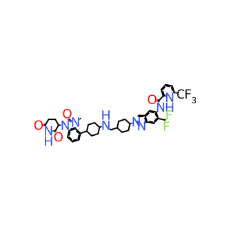 Cn1c(=O)n(C2CCC(=O)NC2=O)c2cccc(C3CCC(NCC4CCC(n5cc6cc(NC(=O)c7cccc(C(F)(F)F)n7)c(C(F)F)cc6n5)CC4)CC3)c21